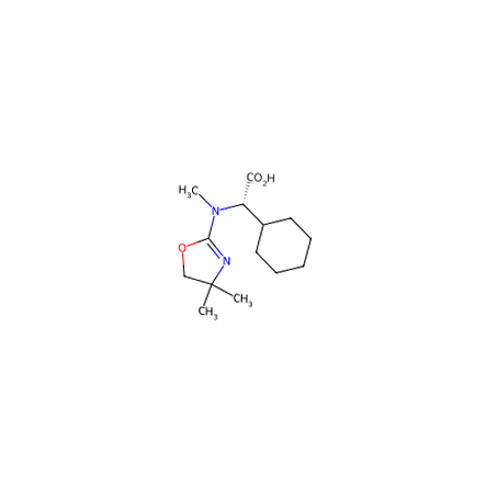 CN(C1=NC(C)(C)CO1)[C@H](C(=O)O)C1CCCCC1